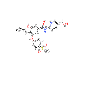 Cc1cc2c(Oc3ccc(S(C)(=O)=O)cc3)cc(C(=O)Nc3ccc(CO)cn3)cc2o1